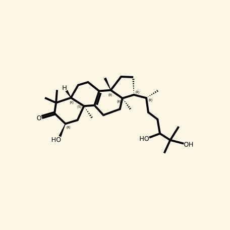 C[C@H](CCC(O)C(C)(C)O)[C@H]1CC[C@@]2(C)C3=C(CC[C@]12C)[C@@]1(C)C[C@@H](O)C(=O)C(C)(C)[C@@H]1CC3